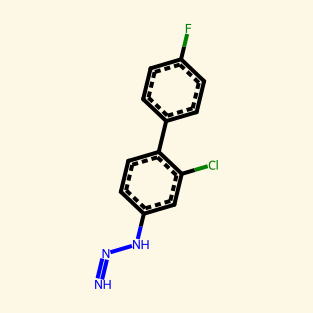 N=NNc1ccc(-c2ccc(F)cc2)c(Cl)c1